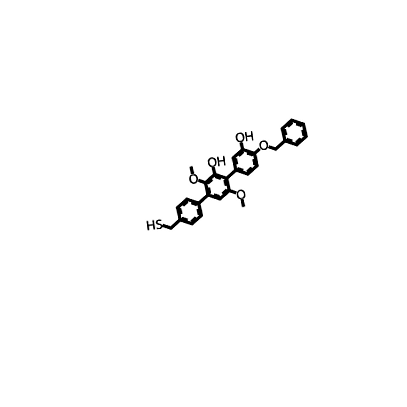 COc1cc(-c2ccc(CS)cc2)c(OC)c(O)c1-c1ccc(OCc2ccccc2)c(O)c1